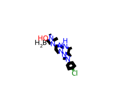 BC1(O)CN(c2ccnc(NC(C)c3cn(-c4ccc(Cl)cc4)cn3)n2)C(=C)N1C